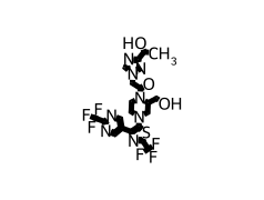 CC(O)c1ncn(CC(=O)N2CCN(c3sc(C(F)(F)F)nc3-c3cnc(C(F)(F)F)nc3)CC2CO)n1